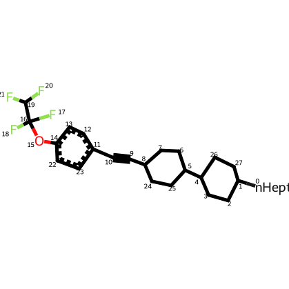 CCCCCCCC1CCC(C2CCC(C#Cc3ccc(OC(F)(F)C(F)F)cc3)CC2)CC1